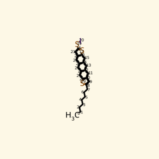 CCCCCCCCc1cc2cc3cc4cc5sc(SI)cc5cc4cc3cc2s1